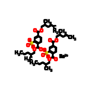 CCCC(C)COC(=O)c1ccc(C(=O)OCC(C)CCC)c(S(=O)(=O)[O-])c1.CCCC(C)COC(=O)c1ccc(C(=O)OCC(C)CCC)c(S(=O)(=O)[O-])c1.[Ba+2]